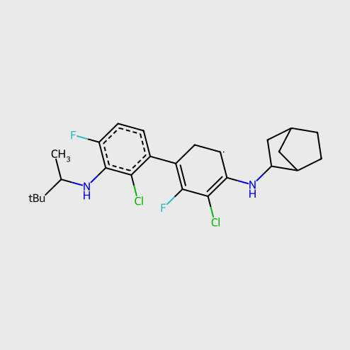 CC(Nc1c(F)ccc(C2=C(F)C(Cl)=C(NC3CC4CCC3C4)[CH]C2)c1Cl)C(C)(C)C